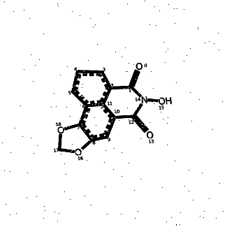 O=C1c2cccc3c4c(cc(c23)C(=O)N1O)OCO4